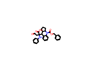 O=CCC(Nc1ccccc1)(C(=O)O)C1c2ccccc2N(C(=O)OCc2ccccc2)C2CCCC21